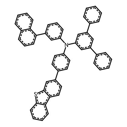 c1ccc(-c2cc(-c3ccccc3)cc(N(c3ccc(-c4ccc5c(c4)sc4ccccc45)cc3)c3cccc(-c4cccc5ccccc45)c3)c2)cc1